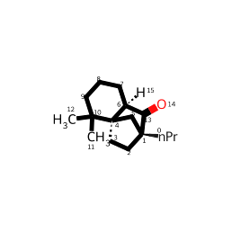 CCC[C@@]12CC[C@@]3(C1)[C@@H](CCCC3(C)C)C2=O